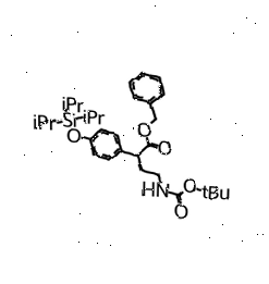 CC(C)[Si](Oc1ccc(C(CCNC(=O)OC(C)(C)C)C(=O)OCc2ccccc2)cc1)(C(C)C)C(C)C